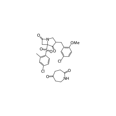 COc1ccc(Cl)cc1CC1CN2C(=O)CC2(S(=O)(=O)c2ccc(Cl)cc2C)C1=O.O=C1CCNC(=O)CC1